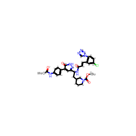 COC(=O)Nc1ccc(-c2cc(C(CC3CCCN(C(=O)OC(C)(C)C)C3)NC(=O)C=Cc3cc(Cl)ccc3-n3cnnn3)n[nH]c2=O)cc1